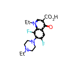 CCN1CCN(c2c(F)cc3c(=O)c(C(=O)O)cn(CC)c3c2F)CC1